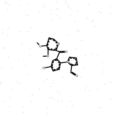 COc1ccnc(C(=O)c2cc(Cl)ccc2-n2cccc2C=O)c1OC